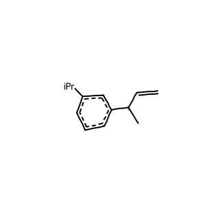 C=C[C](C)c1cccc(C(C)C)c1